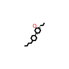 CCCCC1CCC([C@@H]2CC[C@@H](CCC)C(=O)C2)CC1